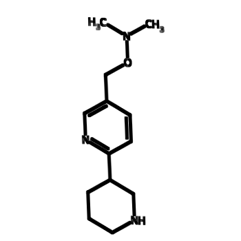 CN(C)OCc1ccc(C2CCCNC2)nc1